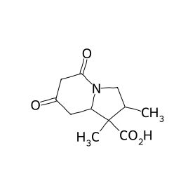 CC1CN2C(=O)CC(=O)CC2C1(C)C(=O)O